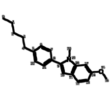 CCCCCc1ccc(-c2cc3ccc(OC)cc3n2C)cc1